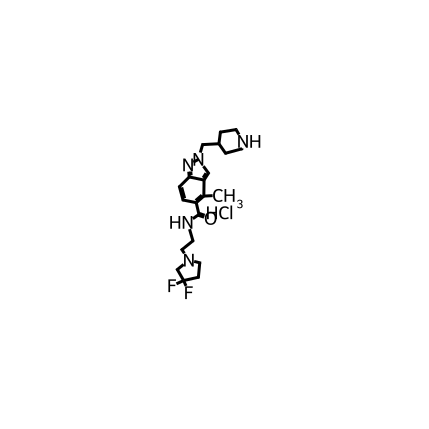 Cc1c(C(=O)NCCN2CCC(F)(F)C2)ccc2nn(CC3CCNCC3)cc12.Cl